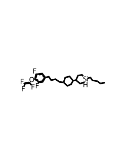 CCCCC[SiH]1CCC(C2CCC(CCCCc3cc(F)c(OC(F)=C(F)F)c(F)c3)CC2)CC1